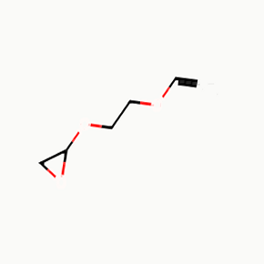 C=COCCOC1CO1